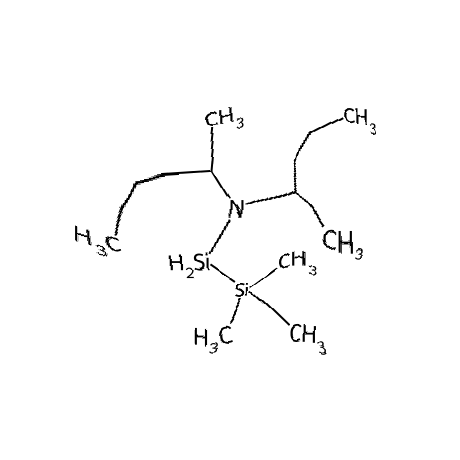 CCC(C)N([SiH2][Si](C)(C)C)C(C)CC